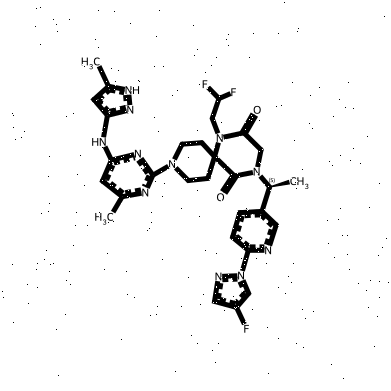 Cc1cc(Nc2cc(C)[nH]n2)nc(N2CCC3(CC2)C(=O)N([C@@H](C)c2ccc(-n4cc(F)cn4)nc2)CC(=O)N3CC(F)F)n1